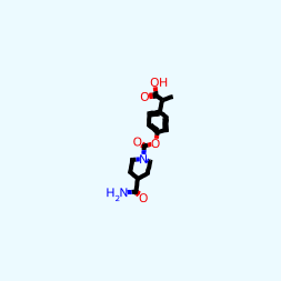 CC(C(=O)O)c1ccc(OC(=O)N2CCC(C(N)=O)CC2)cc1